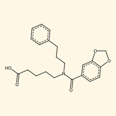 O=C(O)CCCCN(CCCc1ccccc1)C(=O)c1ccc2c(c1)OCO2